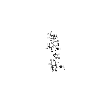 CNC(=O)c1cc(S(=O)(=O)NC(C)(C)C)cnc1NCc1ccc(-c2ccc3ncnc(N)c3c2)s1